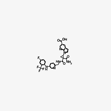 NC(=O)C1(C(=O)NCc2ccc(Nc3ccc(F)cc3C(F)(F)F)cn2)CC1n1ccc2cc(C(=O)O)cnc21